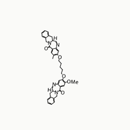 COc1cc2c(cc1OCCCCCOc1cc3c(cc1C)C(=O)N1Cc4ccccc4C[C@H]1C=N3)N=C[C@@H]1Cc3ccccc3CN1C2=O